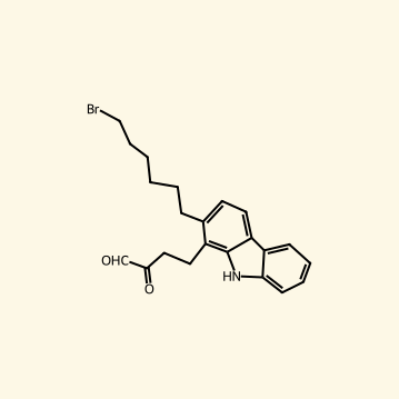 O=CC(=O)CCc1c(CCCCCCBr)ccc2c1[nH]c1ccccc12